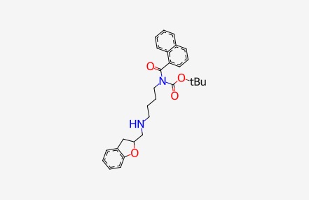 CC(C)(C)OC(=O)N(CCCCNCC1Cc2ccccc2O1)C(=O)c1cccc2ccccc12